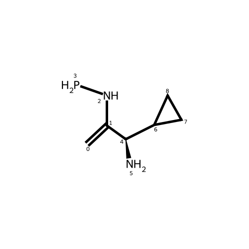 C=C(NP)[C@H](N)C1CC1